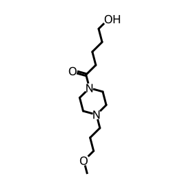 COCCCN1CCN(C(=O)CCCCO)CC1